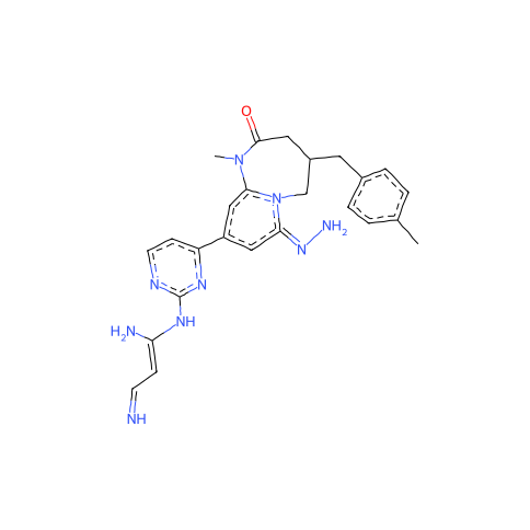 Cc1ccc(CC2CC(=O)N(C)c3cc(-c4ccnc(N/C(N)=C/C=N)n4)c/c(=N/N)n3C2)cc1